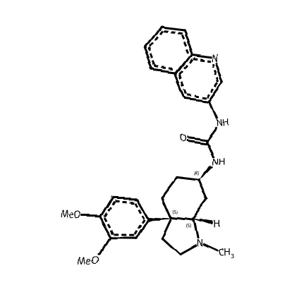 COc1ccc([C@@]23CC[C@@H](NC(=O)Nc4cnc5ccccc5c4)C[C@@H]2N(C)CC3)cc1OC